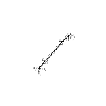 CC(C)(C)CCCNC(=O)OCCOCCOCCOCCNC(=O)CCC(=O)OC(C)(C)C